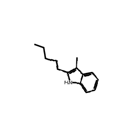 CCCCCc1[nH]c2ccccc2c1C